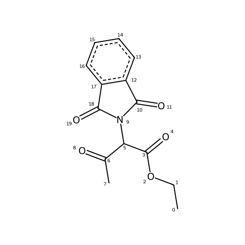 CCOC(=O)C(C(C)=O)N1C(=O)c2ccccc2C1=O